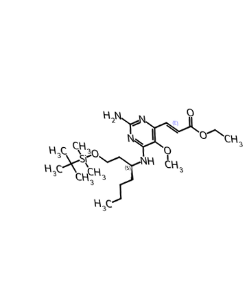 CCCC[C@@H](CCO[Si](C)(C)C(C)(C)C)Nc1nc(N)nc(/C=C/C(=O)OCC)c1OC